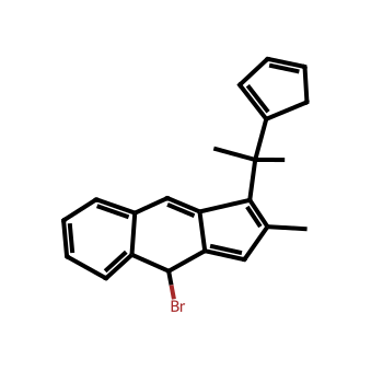 CC1=C(C(C)(C)C2=CC=CC2)C2=Cc3ccccc3C(Br)C2=C1